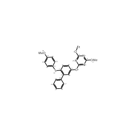 CCOc1nc(OC)nc(Oc2ccc(Sc3ccc(OC)cc3)c(-c3ccccc3)c2)n1